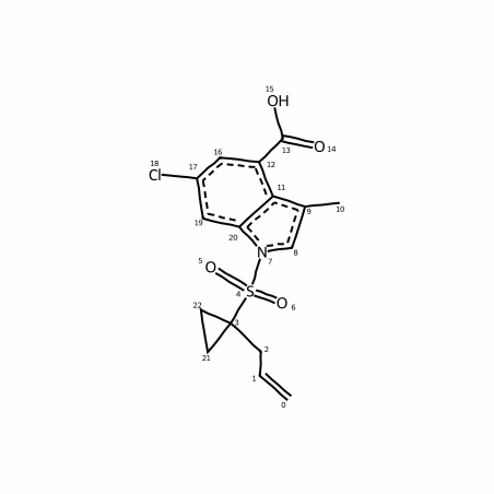 C=CCC1(S(=O)(=O)n2cc(C)c3c(C(=O)O)cc(Cl)cc32)CC1